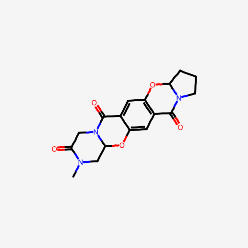 CN1CC2Oc3cc4c(cc3C(=O)N2CC1=O)OC1CCCN1C4=O